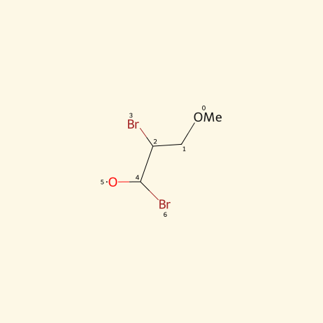 COCC(Br)C([O])Br